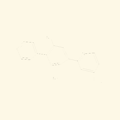 N#Cc1cc(-c2cc(C(=O)[O-])ccn2)ccc1-c1ccccc1.[Na+]